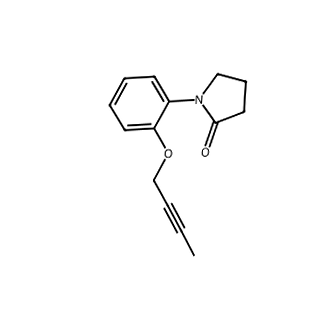 CC#CCOc1ccccc1N1CCCC1=O